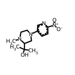 CN1CCN(c2ccc([N+](=O)[O-])nc2)CC1C(C)(C)O